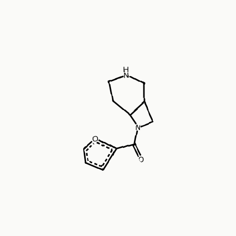 O=C(c1ccco1)N1CC2CNCCC21